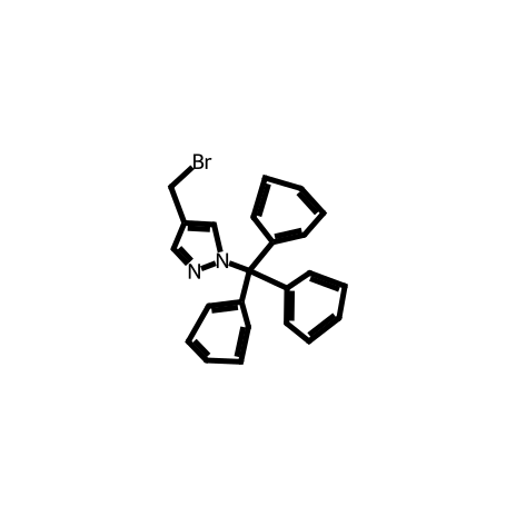 BrCc1cnn(C(c2ccccc2)(c2ccccc2)c2ccccc2)c1